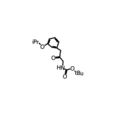 CC(C)Oc1cccc(CC(=O)CNC(=O)OC(C)(C)C)c1